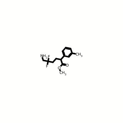 COC(=O)C(CCC(F)(F)CN)c1cccc(C)c1